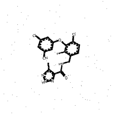 Cc1n[nH]nc1C(=O)NCc1ccc(Cl)c(Oc2cc(Cl)cc(C#N)c2)c1F